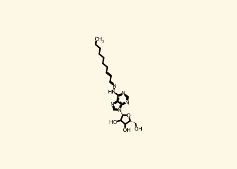 CCCCCCC/C=C/C=N/Nc1ncnc2c1ncn2[C@@H]1O[C@H](CO)C(O)C1O